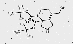 CC(C)(C)OC(=O)N1CCC(CO)=C2CNCC21C(=O)OC(C)(C)C